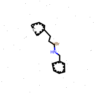 Br.c1ccc(CCCNCc2ccccc2)cc1